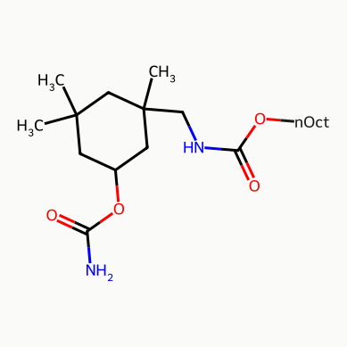 CCCCCCCCOC(=O)NCC1(C)CC(OC(N)=O)CC(C)(C)C1